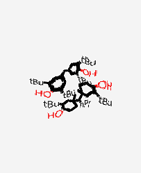 CC(C)(C)c1cc(Cc2cc(C(C)(C)C)c(O)c(C(C)(C)C)c2)cc(C(C)(C)C)c1O.CCCC(C1(C)C=C(C(C)(C)C)C(O)=CC1)C1(C)C=C(C(C)(C)C)C(O)=CC1